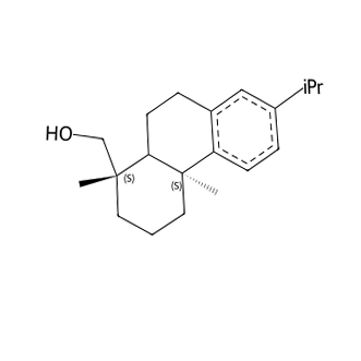 CC(C)c1ccc2c(c1)CCC1[C@@](C)(CO)CCC[C@]21C